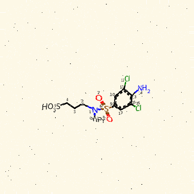 CCCN(CCCS(=O)(=O)O)S(=O)(=O)c1cc(Cl)c(N)c(Cl)c1